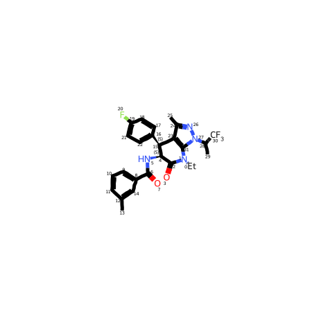 CCN1C(=O)[C@@H](NC(=O)c2cccc(C)c2)[C@@H](c2ccc(F)cc2)c2c(C)nn(C(C)C(F)(F)F)c21